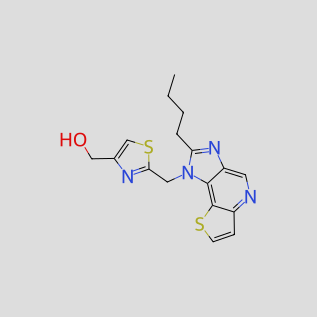 CCCCc1nc2cnc3ccsc3c2n1Cc1nc(CO)cs1